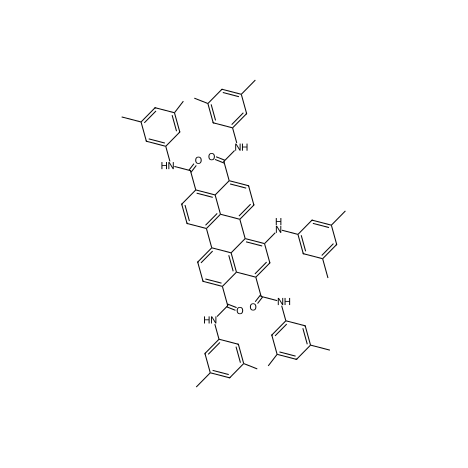 Cc1cc(C)cc(NC(=O)c2ccc3c4ccc(C(=O)Nc5cc(C)cc(C)c5)c5c(C(=O)Nc6cc(C)cc(C)c6)cc(Nc6cc(C)cc(C)c6)c(c6ccc(C(=O)Nc7cc(C)cc(C)c7)c2c36)c54)c1